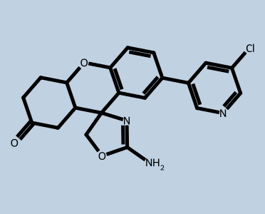 NC1=NC2(CO1)c1cc(-c3cncc(Cl)c3)ccc1OC1CCC(=O)CC12